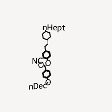 CCCCCCCCCCOc1ccc(C(=O)Oc2ccc(CC[C@H]3CC[C@H](CCCCCCC)CC3)cc2C#N)cc1